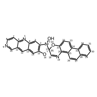 ON1c2cc3nc4ccncc4cc3cc2O[C@]12C=Nc1c(ccc3c1ccc1ccccc13)O2